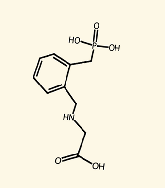 O=C(O)CNCc1ccccc1CP(=O)(O)O